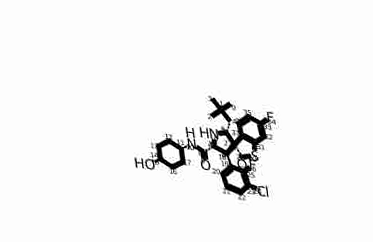 CC(C)(C)C[C@H]1N[C@@H](C(=O)N[C@H]2CC[C@H](O)CC2)[C@H](c2cccc(Cl)c2F)[C@@]12C(=O)Sc1cc(F)ccc12